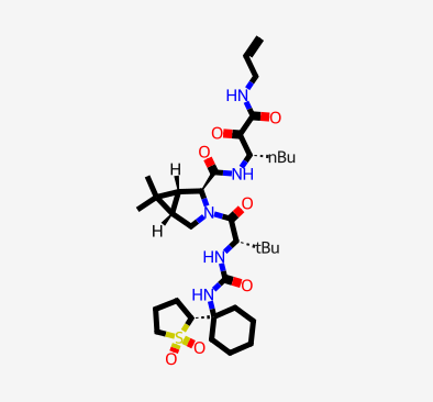 C=CCNC(=O)C(=O)[C@H](CCCC)NC(=O)[C@@H]1[C@@H]2[C@H](CN1C(=O)[C@@H](NC(=O)NC1([C@H]3CCCS3(=O)=O)CCCCC1)C(C)(C)C)C2(C)C